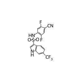 N#Cc1cc(F)c(NS(=O)(=O)c2c[nH]c3cc(C(F)(F)F)ccc23)cc1F